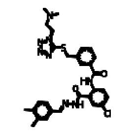 Cc1ccc(/C=N/NC(=O)c2cc(Cl)ccc2NC(=O)c2cccc(CSc3nnnn3CCN(C)C)c2)cc1C